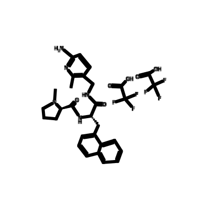 Cc1nc(N)ccc1CNC(=O)[C@H](Cc1cccc2ccccc12)NC(=O)[C@H]1CCCN1C.O=C(O)C(F)(F)F.O=C(O)C(F)(F)F